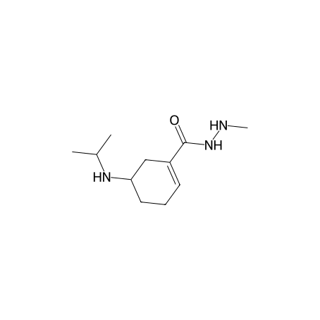 CNNC(=O)C1=CCCC(NC(C)C)C1